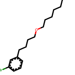 BrCCCCCCOCCCCc1cccc(Br)c1